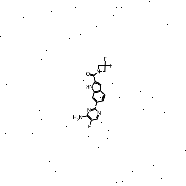 Nc1nc(-c2ccc3cc(C(=O)N4CC(F)(F)C4)[nH]c3c2)ncc1F